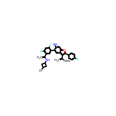 C=C(NC1CC(CC)C1)c1cc(-c2cc3c(C(=C)NC)c(-c4ccc(F)cc4)oc3cc2N)c(F)cc1F